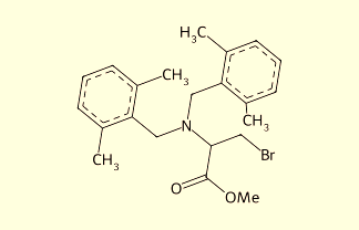 COC(=O)C(CBr)N(Cc1c(C)cccc1C)Cc1c(C)cccc1C